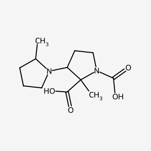 CC1CCCN1C1CCN(C(=O)O)C1(C)C(=O)O